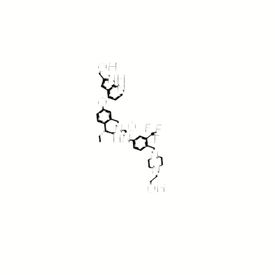 CC[C@@H]1CN(C(=O)Nc2ccc(CN3CCN(CCO)CC3)c(C(F)(F)F)c2)Cc2cc(Oc3ccnc4[nH]c(CO)cc34)ccc21